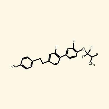 CCCc1ccc(CCc2ccc(-c3ccc(OC(F)(F)C(F)C(F)(F)F)c(F)c3)c(F)c2)cc1